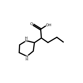 CCCC(C(=O)O)C1CNCCN1